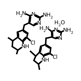 CC1CC(C)c2cc(Cc3cnc(N)nc3N)cc(Cl)c2N1.CC1CC(C)c2cc(Cc3cnc(N)nc3N)cc(Cl)c2N1.O